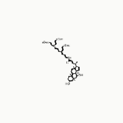 CCCCCCCCCCCC/C(=C\CCNC(=O)CC[C@@H](C)[C@H]1CCC2[C@H]3C(CC[C@@]21C)[C@@]1(C)CC[C@@H](O)C[C@@]1(C)C[C@H]3O)CCCN(CCCCCCCCCCCC)CCCCCCCCCCCC